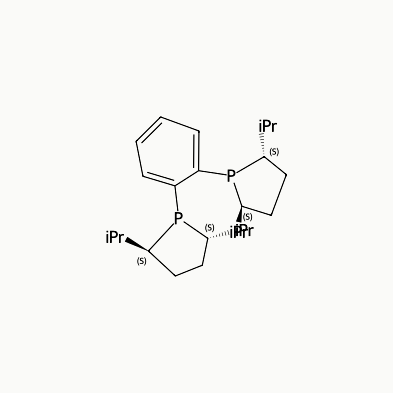 CC(C)[C@@H]1CC[C@@H](C(C)C)P1c1ccccc1P1[C@H](C(C)C)CC[C@H]1C(C)C